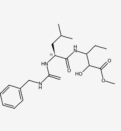 C=C(NCc1ccccc1)N[C@@H](CC(C)C)C(=O)NC(CC)C(O)C(=O)OC